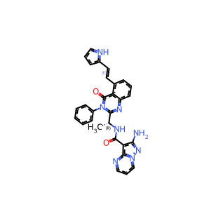 C[C@@H](NC(=O)c1c(N)nn2cccnc12)c1nc2cccc(/C=C/c3ccc[nH]3)c2c(=O)n1-c1ccccc1